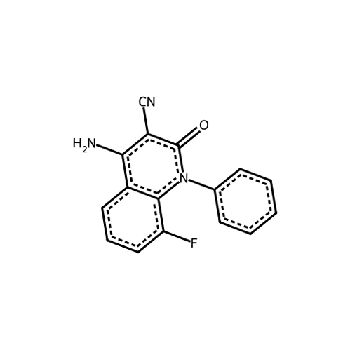 N#Cc1c(N)c2cccc(F)c2n(-c2ccccc2)c1=O